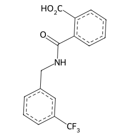 O=C(O)c1ccccc1C(=O)NCc1cccc(C(F)(F)F)c1